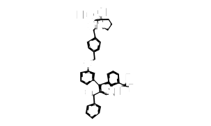 C[C@@]1(C(=O)O)CCCN1Cc1ccc(COc2cccc(-c3c(C(=O)c4ccccc4)cnc4c(C(F)(F)F)cccc34)c2)cc1